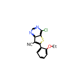 CCOc1ccccc1-c1sc2c(Cl)ncnc2c1C#N